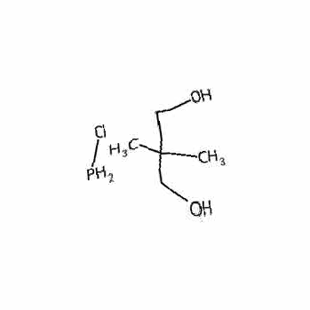 CC(C)(CO)CO.PCl